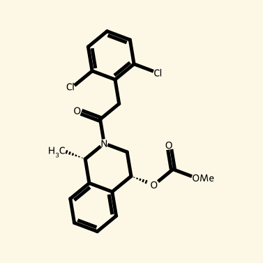 COC(=O)O[C@H]1CN(C(=O)Cc2c(Cl)cccc2Cl)[C@@H](C)c2ccccc21